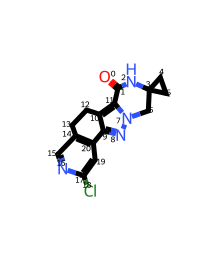 O=C1NC2(CC2)Cn2nc3c(c21)CCc1cnc(Cl)cc1-3